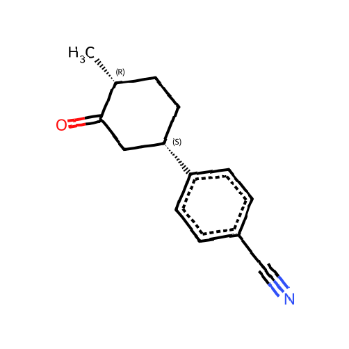 C[C@@H]1CC[C@H](c2ccc(C#N)cc2)CC1=O